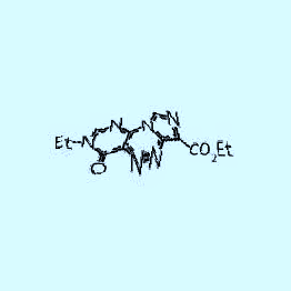 CCOC(=O)c1ncn2c1nnc1c(=O)n(CC)cnc12